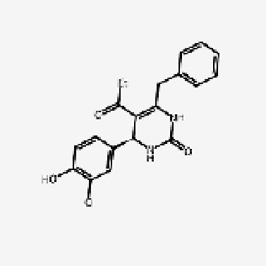 CCC(=O)C1=C(Cc2ccccc2)NC(=O)N[C@H]1c1ccc(O)c(Cl)c1